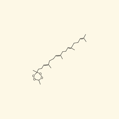 CC(C)=CCC/C(C)=C/CC/C(C)=C/CC/C(C)=C/CCC1(C)OOC(C)OO1